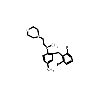 Cc1ccc(N(C)CCN2CCOCC2)c(Cc2c(F)cccc2F)c1